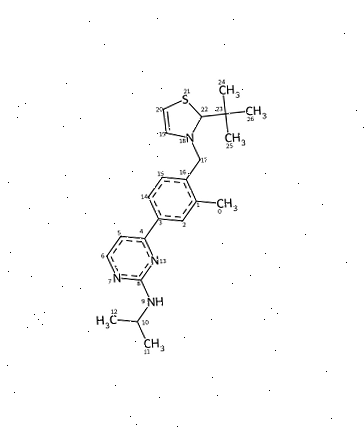 Cc1cc(-c2ccnc(NC(C)C)n2)ccc1CN1C=CSC1C(C)(C)C